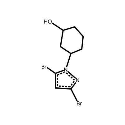 OC1CCCC(n2nc(Br)cc2Br)C1